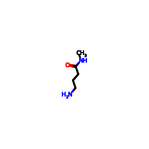 CNC(=O)CCCN